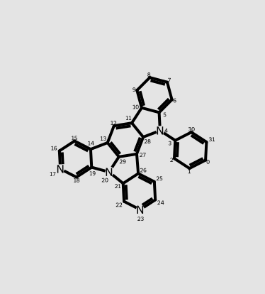 c1ccc(-n2c3ccccc3c3cc4c5ccncc5n5c6cnccc6c(c32)c45)cc1